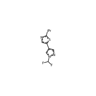 CC(C)c1ncc(-c2cnn(C(F)F)c2)s1